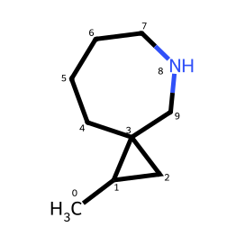 CC1CC12CCCCNC2